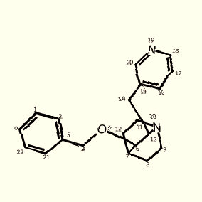 c1ccc(COC2C3CCN(CC3)C2Cc2cccnc2)cc1